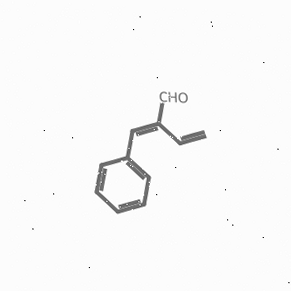 C=CC(C=O)=Cc1ccccc1